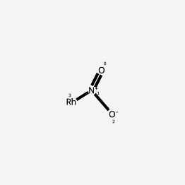 O=[N+]([O-])[Rh]